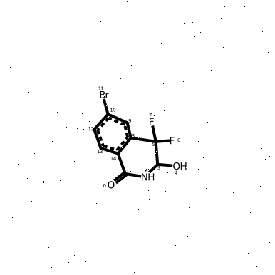 O=C1NC(O)C(F)(F)c2cc(Br)ccc21